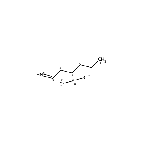 CCCCCC=N.[Cl][Pt][Cl]